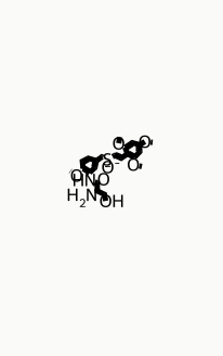 COc1cc(OC)c(/C=C/[S+]([O-])Cc2ccc(OC)c(NC(=O)[C@@H](N)CO)c2)c(OC)c1